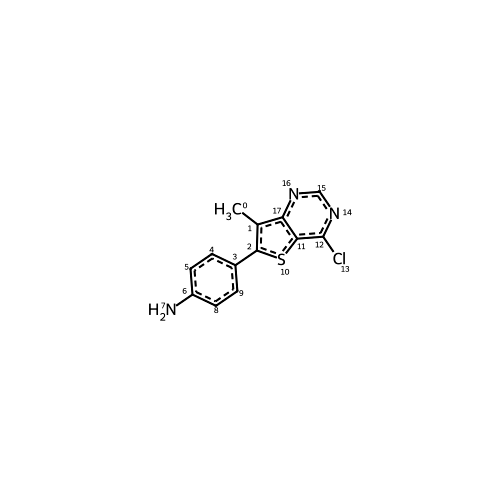 Cc1c(-c2ccc(N)cc2)sc2c(Cl)ncnc12